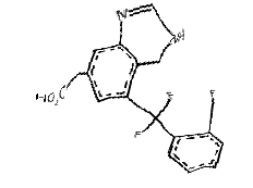 O=C(O)c1cc2c(c(C(F)(F)c3ccccc3F)c1)CNC=N2